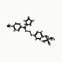 N#Cc1ccc(N(CCCc2ccc(OS(N)(=O)=O)cc2)n2cnnc2)cc1